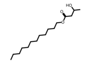 CCCCCCCCCCCCOC(=O)CC(C)O